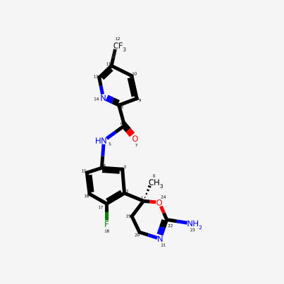 C[C@@]1(c2cc(NC(=O)c3ccc(C(F)(F)F)cn3)ccc2F)CCN=C(N)O1